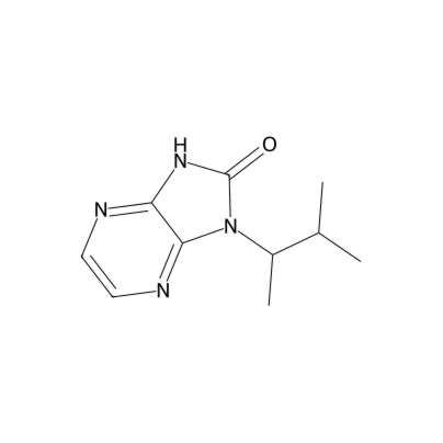 CC(C)C(C)n1c(=O)[nH]c2nccnc21